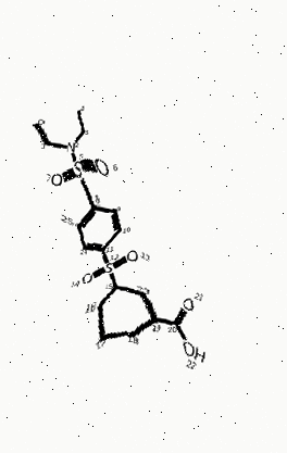 CCN(CC)S(=O)(=O)c1ccc(S(=O)(=O)C2CCCC(C(=O)O)C2)cc1